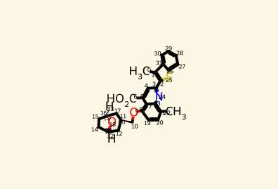 Cc1c(-c2cc(C(=O)O)c3c(OC[C@H]4C[C@H]5CC[C@@H](C4)O5)ccc(C)c3n2)sc2ccccc12